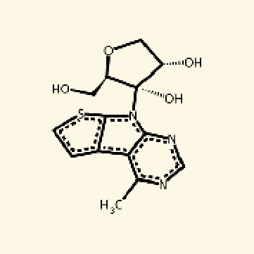 Cc1ncnc2c1c1ccsc1n2[C@]1(O)[C@@H](O)CO[C@@H]1CO